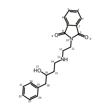 O=C1c2ccccc2C(=O)N1CCNCCC(O)Cc1ccccc1